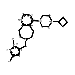 Cc1cc(CN2CCc3ncnc(N4CCN(C5CCC5)CC4)c3CC2)n(C)n1